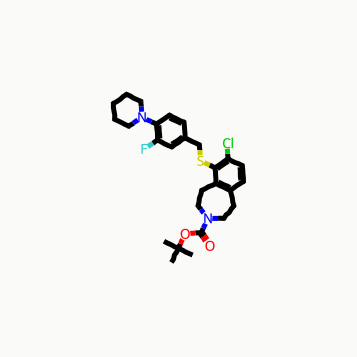 CC(C)(C)OC(=O)N1CCc2ccc(Cl)c(SCc3ccc(N4CCCCC4)c(F)c3)c2CC1